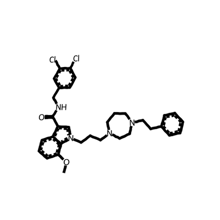 COc1cccc2c(C(=O)NCc3ccc(Cl)c(Cl)c3)cn(CCCN3CCCN(CCc4ccccc4)CC3)c12